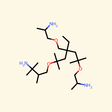 CCC(COCC(C)N)(CC(C)(C)OCC(C)N)CC(C)(C)OCC(C)C(C)(C)N